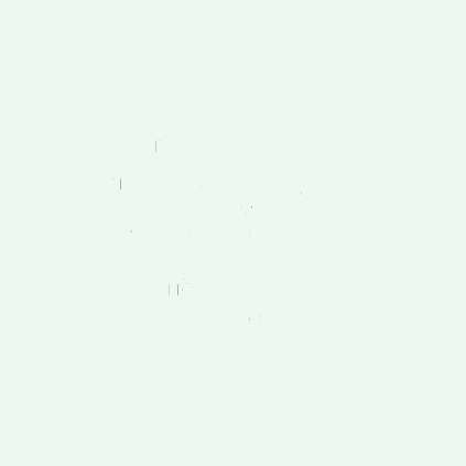 O=C(O)[C@](O)(c1ccccc1Cl)[C@@H]1CCC(F)(F)C1